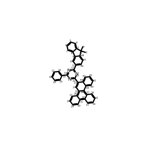 CC1(C)c2ccccc2-c2cc(-c3nc(-c4ccccc4)nc(-c4cc5c6ccccc6c6ccccc6c5c5ccccc45)n3)ccc21